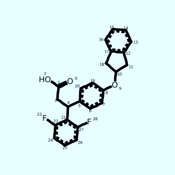 O=C(O)CC(c1ccc(OC2Cc3ccccc3C2)cc1)c1c(F)cccc1F